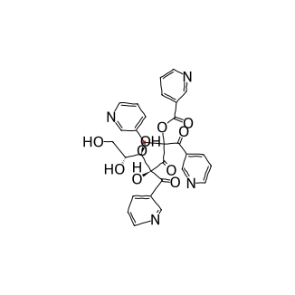 O=C(OC(C(=O)c1cccnc1)(C(=O)c1cccnc1)C(=O)[C@](O)(C(=O)c1cccnc1)[C@H](O)[C@H](O)CO)c1cccnc1